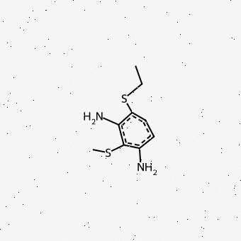 CCSc1ccc(N)c(SC)c1N